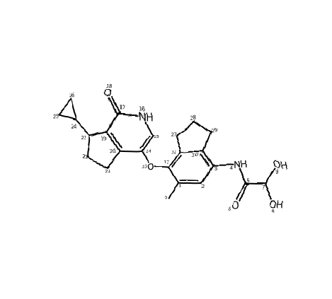 Cc1cc(NC(=O)C(O)O)c2c(c1Oc1c[nH]c(=O)c3c1CCC3C1CC1)CCC2